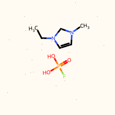 CCN1C=CN(C)C1.O=P(O)(O)F